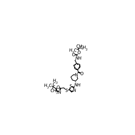 CC(C)(C)OC(=O)NCc1ccc(C(=O)N2CCC[C@@H](Nc3ncc(SCc4ncc(C(C)(C)C)o4)s3)C2)cc1